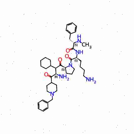 CN[C@@H](Cc1ccccc1)C(=O)N[C@@H](CCCCN)C(=O)N1CCC[C@H]1C(=O)C(C1CCCCC1)[C@@H](N)C(=O)C1CCN(Cc2ccccc2)CC1